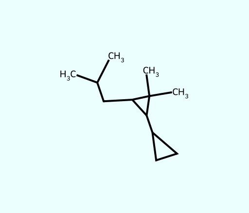 CC(C)CC1C(C2CC2)C1(C)C